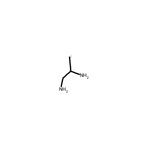 [C]C(N)CN